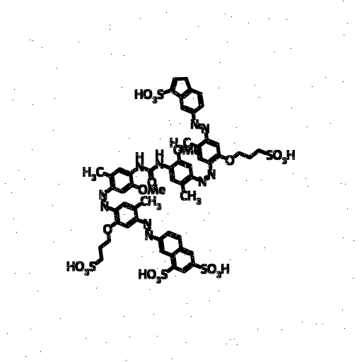 COc1cc(/N=N\c2cc(C)c(/N=N/c3ccc4c(c3)C(S(=O)(=O)O)=CC4)cc2OCCCS(=O)(=O)O)c(C)cc1NC(=O)Nc1cc(C)c(/N=N\c2cc(C)c(/N=N/c3ccc4cc(S(=O)(=O)O)cc(S(=O)(=O)O)c4c3)cc2OCCCS(=O)(=O)O)cc1OC